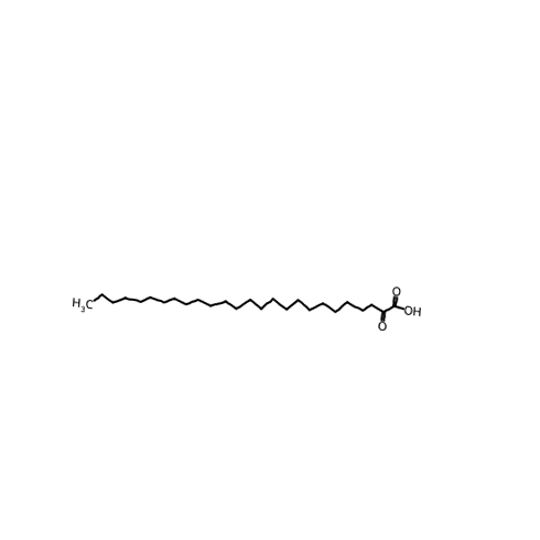 CCCCCCCCCCCCCCCCCCCCCCCCC(=O)C(=O)O